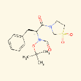 CC(C)(C)ON(C=O)[C@@H](Cc1ccccc1)C(=O)N1CCS(=O)(=O)C1